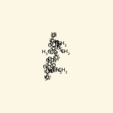 C=CCOC(=O)N1c2cc(OCc3cccc(COc4cc5c(cc4OC)C(=O)N4CC=C(c6ccsc6)C[C@H]4[C@H](OC)N5C(=O)OCC=C)c3)c(OC)cc2C(=O)N2CC=C(c3ccsc3)C[C@H]2[C@@H]1OC